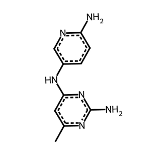 Cc1cc(Nc2ccc(N)nc2)nc(N)n1